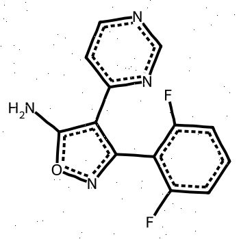 Nc1onc(-c2c(F)cccc2F)c1-c1ccncn1